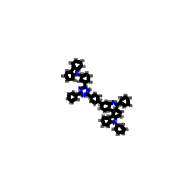 c1ccc(-c2nc(-c3ccc(-c4ccc5c(c4)nc(-c4ccccc4)c4ccc6c(c7ccccc7n6-c6ccccc6)c45)cc3)nc(-c3cccc(-n4c5ccccc5c5ccccc54)c3)n2)cc1